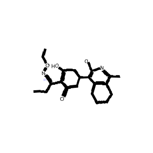 CCO/N=C(/CC)C1=C(O)CC(c2c(Cl)nc(C)c3c2CCCC3)CC1=O